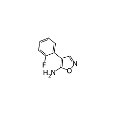 Nc1oncc1-c1ccccc1F